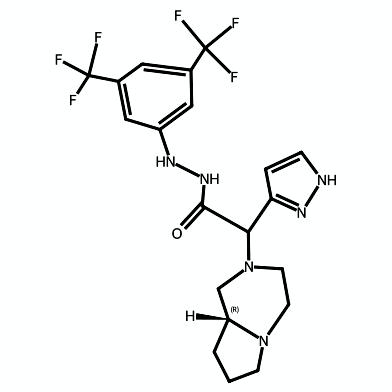 O=C(NNc1cc(C(F)(F)F)cc(C(F)(F)F)c1)C(c1cc[nH]n1)N1CCN2CCC[C@@H]2C1